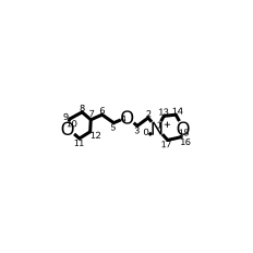 C[N+]1(CCOCCC2CCOCC2)CCOCC1